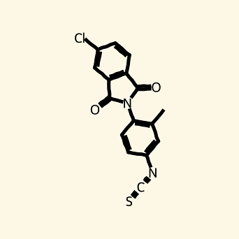 Cc1cc(N=C=S)ccc1N1C(=O)c2ccc(Cl)cc2C1=O